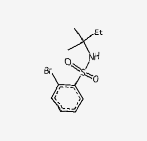 CCC(C)(C)NS(=O)(=O)c1ccccc1Br